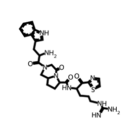 N=C(N)NCCCC(NC(=O)C1CCC2CN(C(=O)C(N)Cc3c[nH]c4ccccc34)CC(=O)N21)C(=O)c1nccs1